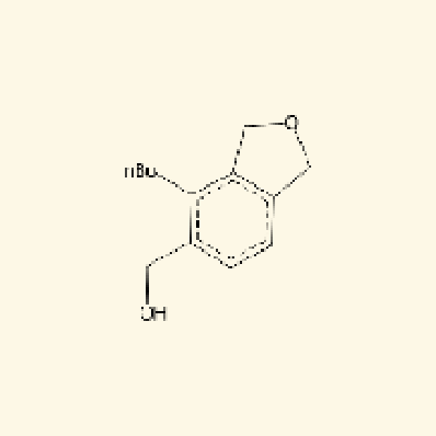 CCCCc1c(CO)ccc2c1COC2